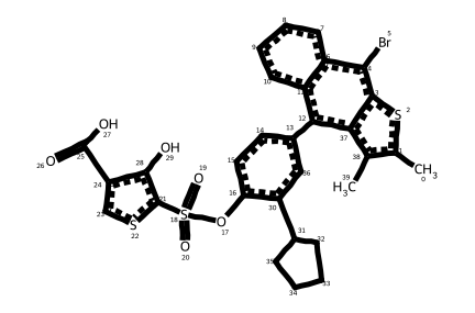 Cc1sc2c(Br)c3ccccc3c(-c3ccc(OS(=O)(=O)c4scc(C(=O)O)c4O)c(C4CCCC4)c3)c2c1C